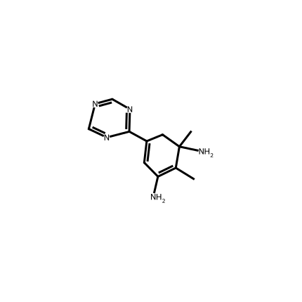 CC1=C(N)C=C(c2ncncn2)CC1(C)N